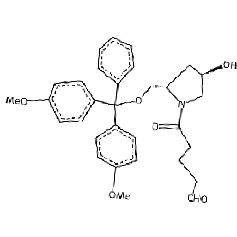 COc1ccc(C(OC[C@@H]2C[C@@H](O)CN2C(=O)CCCC=O)(c2ccccc2)c2ccc(OC)cc2)cc1